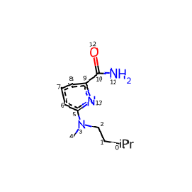 CC(C)CCN(C)c1cc[c]c(C(N)=O)n1